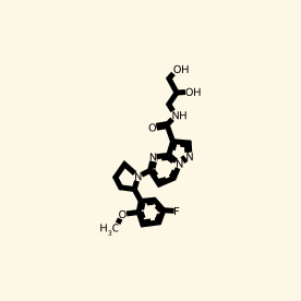 COc1ccc(F)cc1C1CCCN1c1ccn2ncc(C(=O)NCC(O)CO)c2n1